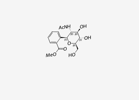 COC(=O)c1ccccc1[C@@H]1O[C@H](CO)[C@@H](O)[C@H](O)[C@H]1NC(C)=O